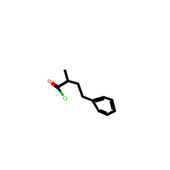 CC(CCc1ccccc1)C(=O)Cl